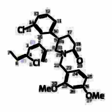 C=C(/C=C\C(Cl)=C/C)[C@@H]1[C@@H](c2cccc(Cl)c2)CCC(=O)N1Cc1ccc(OC)cc1OC